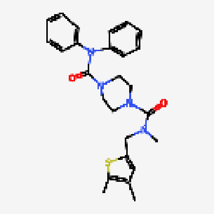 Cc1cc(CN(C)C(=O)N2CCN(C(=O)N(c3ccccc3)c3ccccc3)CC2)sc1C